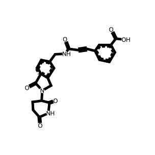 O=C(C#Cc1cccc(C(=O)O)c1)NCc1ccc2c(c1)CN(C1CCC(=O)NC1=O)C2=O